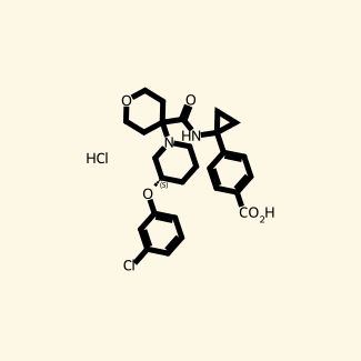 Cl.O=C(O)c1ccc(C2(NC(=O)C3(N4CCC[C@H](Oc5cccc(Cl)c5)C4)CCOCC3)CC2)cc1